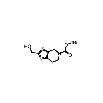 CC(C)(C)OC(=O)N1CCc2nc(CO)sc2C1